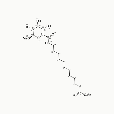 COC(=O)CCCCCCCCCCCNC(=O)[C@H]1O[C@@H](OC)[C@H](O)[C@@H](O)[C@@H]1O